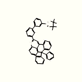 CC1(C)OB(c2cccc(-c3cccc(-c4cc5c6c(cccc6n4)C(c4ccccc4)(c4ccccc4)c4ccccc4-5)c3)c2)OC1(C)C